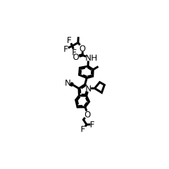 Cc1cc(-c2c(C#N)c3ccc(OCC(F)F)cc3n2C2CCC2)ccc1NC(=O)OC(C)C(F)(F)F